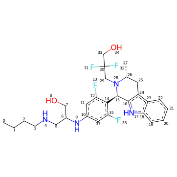 CCCCNCC(CO)Nc1cc(F)c([C@@H]2c3[nH]c4ccccc4c3C[C@@H](C)N2CC(F)(F)CO)c(F)c1